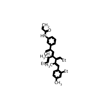 C=CC(=O)Nc1cccc(C(/C=C(C(=CCC)/C(C)=C/c2ccc(C)cc2CC)\C(C)=C\CC)=C/C)c1